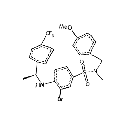 COc1ccc(CN(C)S(=O)(=O)c2ccc(N[C@@H](C)c3ccc(C(F)(F)F)cc3)c(Br)c2)cc1